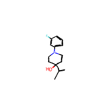 CC(C)C1(O)CCN(c2cccc(F)c2)CC1